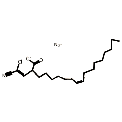 CCCCCCCC/C=C\CCCCCCC(C=C(Cl)C#N)C(=O)[O-].[Na+]